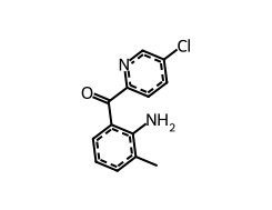 Cc1cccc(C(=O)c2ccc(Cl)cn2)c1N